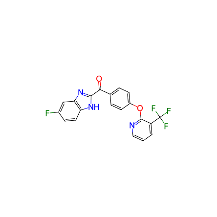 O=C(c1ccc(Oc2ncccc2C(F)(F)F)cc1)c1nc2cc(F)ccc2[nH]1